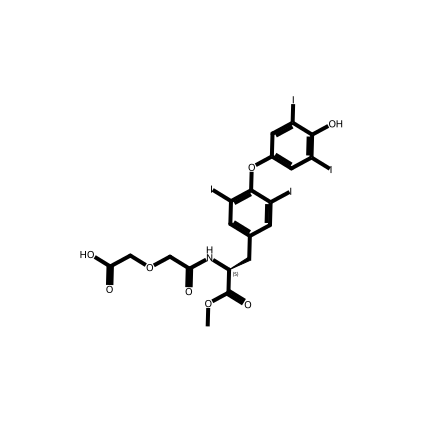 COC(=O)[C@H](Cc1cc(I)c(Oc2cc(I)c(O)c(I)c2)c(I)c1)NC(=O)COCC(=O)O